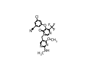 CNc1ncc(Cn2cnc(C(F)(F)F)c(Oc3cc(Cl)cc(C#N)c3)c2=O)c(OC)n1